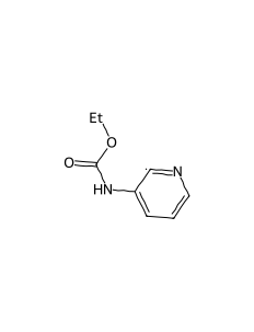 CCOC(=O)Nc1[c]nccc1